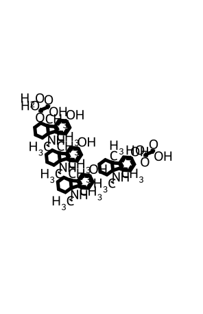 CCC1(NC)CCCCC1(C)c1cccc(O)c1.CCC1(NC)CCCCC1(C)c1cccc(O)c1.CCC1(NC)CCCCC1(C)c1cccc(O)c1.CCC1(NC)CCCCC1(C)c1cccc(O)c1.O.O=C(O)C(=O)O.O=C(O)C(=O)O